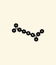 C1=CC(c2ccc(-c3ccc(N(c4ccccc4)c4ccccc4)cc3)cc2)CC=C1C1C=CC(N(c2ccccc2)c2ccc(-c3ccccc3)cc2)=CC1